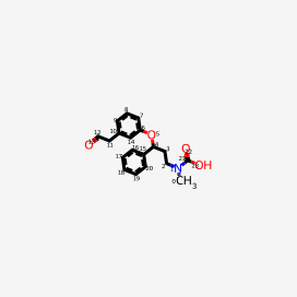 CN(CCC(Oc1cccc(CC=O)c1)c1ccccc1)C(=O)O